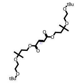 CC(C)(C)OCCOC(C)(C)CCOC(=O)/C=C/C(=O)OCCC(C)(C)OCCOC(C)(C)C